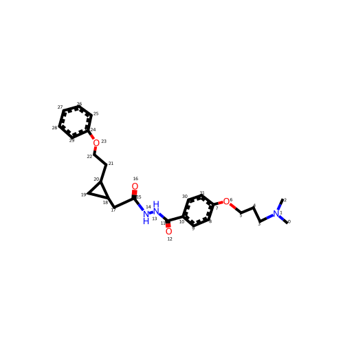 CN(C)CCCOc1ccc(C(=O)NNC(=O)CC2CC2CCOc2ccccc2)cc1